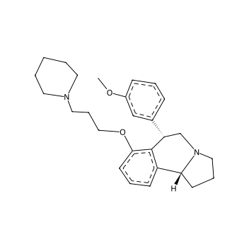 COc1cccc([C@@H]2CN3CCC[C@@H]3c3cccc(OCCCN4CCCCC4)c32)c1